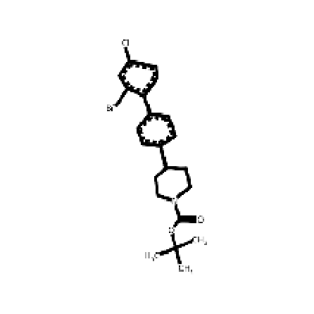 CC(C)(C)OC(=O)N1CCC(c2ccc(-c3ccc(Cl)cc3Br)cc2)CC1